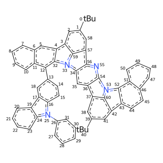 CC(C)(C)c1cc2c3cc4ccccc4c(-c4ccc5c(c4)c4ccccc4n5-c4ccccc4)c3n3c4cc5c6cc(C(C)(C)C)cc7c8ccc9ccccc9c8n(c5nc4c(c1)c23)c67